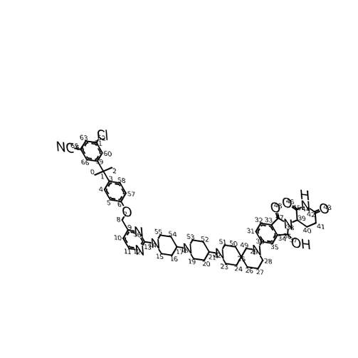 CC(C)(c1ccc(OCc2ccnc(N3CCC(N4CCC(N5CCC6(CCCN(c7ccc8c(c7)C(O)N(C7CCC(=O)NC7=O)C8=O)C6)CC5)CC4)CC3)n2)cc1)c1cc(Cl)cc(C#N)c1